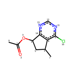 CC(=O)OC1CC(C)c2c(Cl)ncnc21